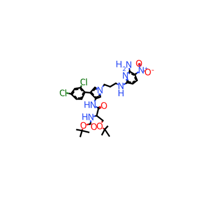 CC(C)(C)OCC(NC(=O)OC(C)(C)C)C(=O)Nc1cn(CCCNc2ccc([N+](=O)[O-])c(N)n2)cc1-c1ccc(Cl)cc1Cl